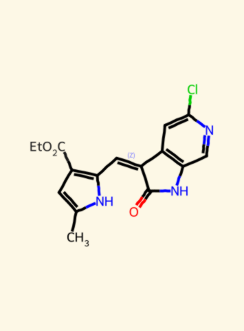 CCOC(=O)c1cc(C)[nH]c1/C=C1\C(=O)Nc2cnc(Cl)cc21